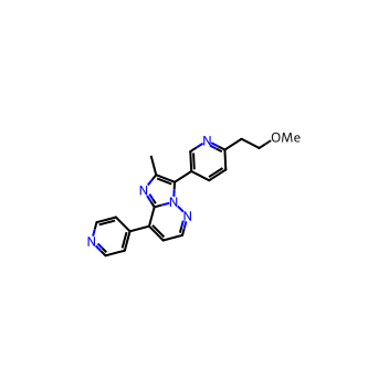 COCCc1ccc(-c2c(C)nc3c(-c4ccncc4)ccnn23)cn1